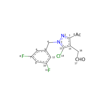 CC(=O)c1nn(Cc2cc(F)cc(F)c2)c(Cl)c1CC=O